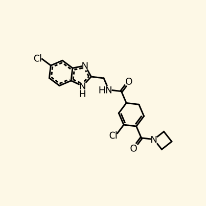 O=C(NCc1nc2cc(Cl)ccc2[nH]1)C1C=C(Cl)C(C(=O)N2CCC2)=CC1